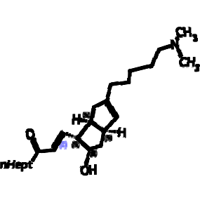 CCCCCCCC(=O)/C=C/[C@@H]1[C@H]2CC(CCCCCN(C)C)=C[C@H]2C[C@H]1O